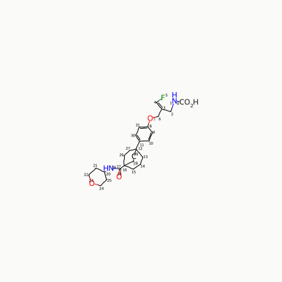 O=C(O)NCC(=CF)COc1ccc(C23CCCC(C(=O)NC4CCOCC4)(CC2)CC3)cc1